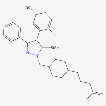 C=C(C)CCCC1CCC(CN2N=C(c3ccccc3)C(C3=CC(C#N)CC=C3F)C2SC)CC1